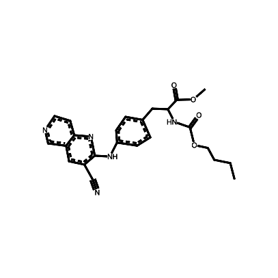 CCCCOC(=O)NC(Cc1ccc(Nc2nc3ccncc3cc2C#N)cc1)C(=O)OC